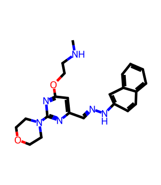 CNCCOc1cc(/C=N/Nc2ccc3ccccc3c2)nc(N2CCOCC2)n1